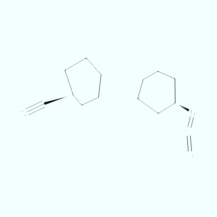 N#C[C@H]1CC[C@H](C[C@H]2CC[C@H](N=C=O)CC2)CC1